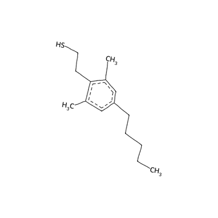 CCCCCc1cc(C)c(CCS)c(C)c1